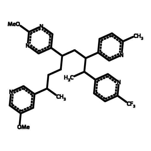 COc1cncc(C(C)CCC(CC(c2ccc(C)nc2)C(C)c2ccc(C(F)(F)F)nc2)c2cnc(OC)nc2)c1